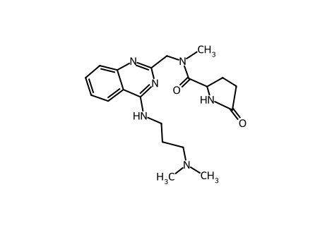 CN(C)CCCNc1nc(CN(C)C(=O)C2CCC(=O)N2)nc2ccccc12